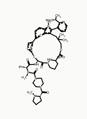 CCn1c(-c2cccnc2[C@H](C)OC)c2c3cc(ccc31)-c1csc(n1)C[C@H](NC(=O)[C@H](C(C)C)N(C)C(=O)N1CCN(C(=O)[C@H]3CCCN3C)CC1)C(=O)N1CCC[C@@](O)(N1)C(=O)OCC(C)(C)C2